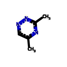 Cc1cnnc(C)n1